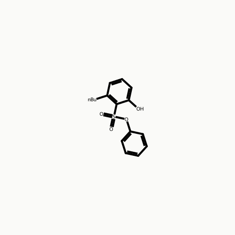 CCCCc1cccc(O)c1S(=O)(=O)Oc1ccccc1